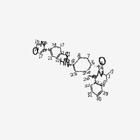 CC(C)N(C(=O)[C@H]1CC[C@H](NSc2ccc(-c3cocn3)cc2)CC1)[C@H](C)c1ccccc1